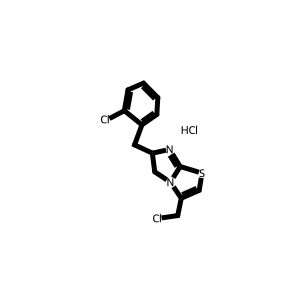 Cl.ClCC1=CSC2=NC(Cc3ccccc3Cl)CN12